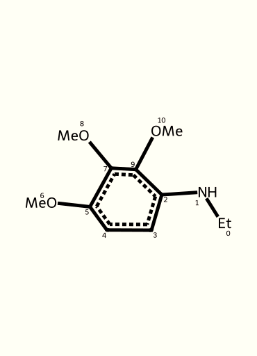 CCNc1ccc(OC)c(OC)c1OC